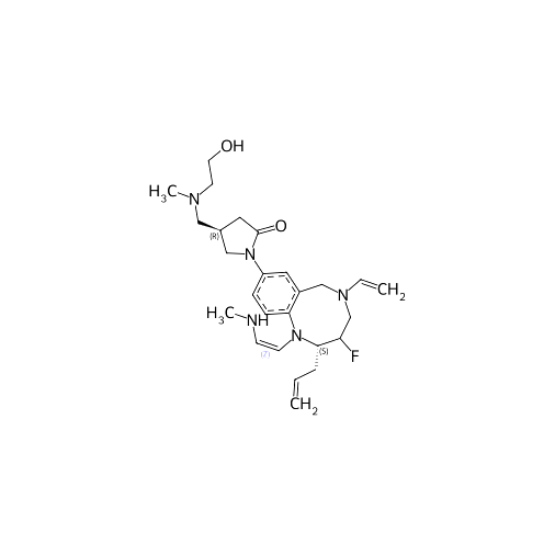 C=CC[C@H]1C(F)CN(C=C)Cc2cc(N3C[C@@H](CN(C)CCO)CC3=O)ccc2N1/C=C\NC